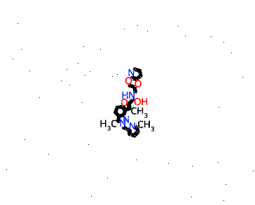 Cc1cccc(CN2N=C3c4c(oc(C(O)NCC5COC6=C(CCC=N6)O5)c4C)CCC3C2C)n1